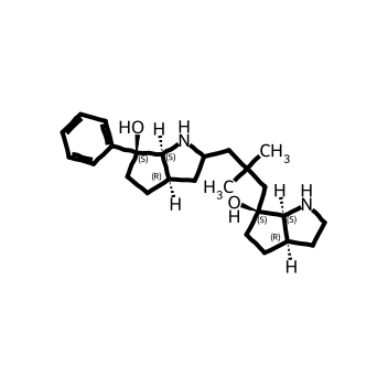 CC(C)(CC1C[C@H]2CC[C@](O)(c3ccccc3)[C@H]2N1)C[C@@]1(O)CC[C@@H]2CCN[C@@H]21